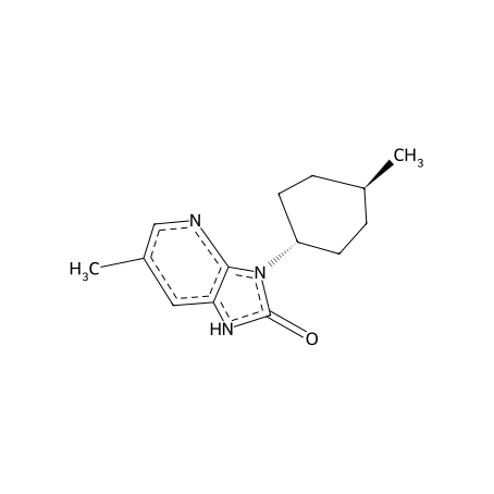 Cc1cnc2c(c1)[nH]c(=O)n2[C@H]1CC[C@H](C)CC1